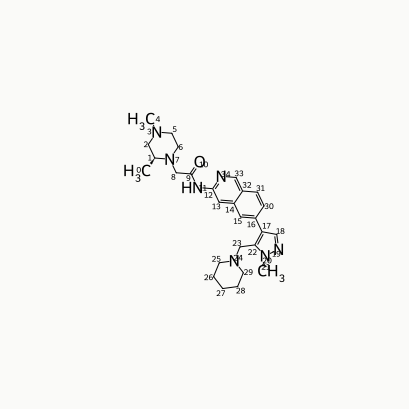 C[C@H]1CN(C)CCN1CC(=O)Nc1cc2cc(-c3cnn(C)c3CN3CCCCC3)ccc2cn1